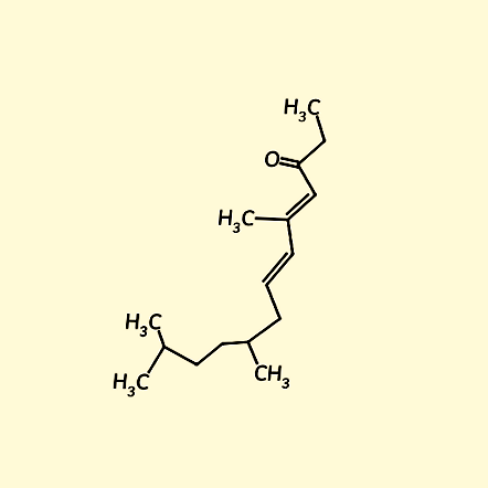 CCC(=O)/C=C(C)/C=C/CC(C)CCC(C)C